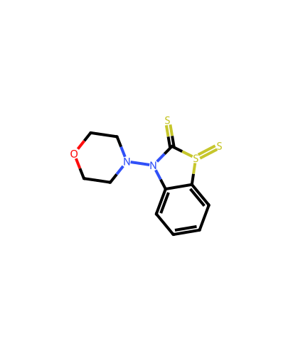 S=C1N(N2CCOCC2)c2ccccc2S1=S